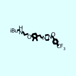 CCC(C)CNCCCOc1ccc(CCN2CCN(C(=O)c3ccc(C(F)(F)F)cc3)CC2)c(C)c1C